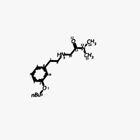 CCCCOc1cccc(CCNCC(=O)N(C)C)c1